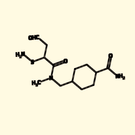 CN(CC1CCC(C(N)=O)CC1)C(=O)C(CC=O)SN